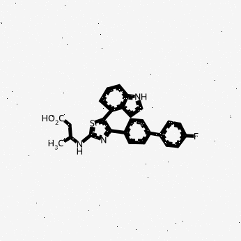 CC(CC(=O)O)Nc1nc(-c2ccc(-c3ccc(F)cc3)cc2)c(-c2cccc3[nH]ccc23)s1